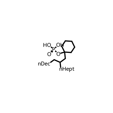 CCCCCCCCCCCC(CCCCCCC)CC1(OP(=O)(O)O)CCCCC1